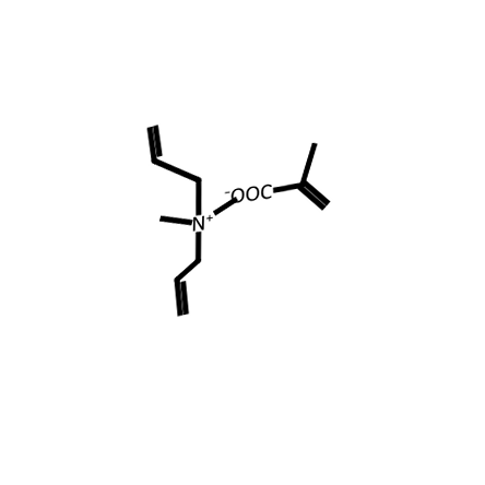 C=C(C)C(=O)[O-].C=CC[N+](C)(C)CC=C